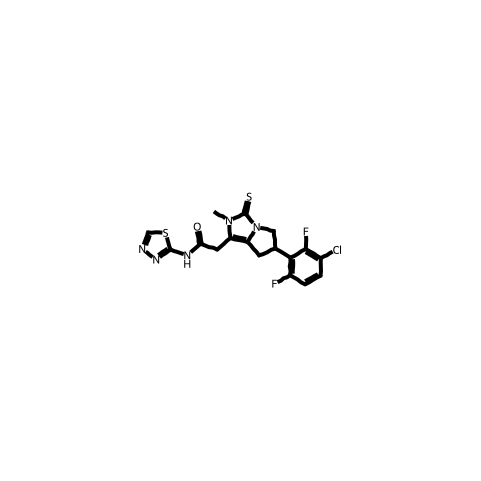 Cn1c(CC(=O)Nc2nncs2)c2n(c1=S)CC(c1c(F)ccc(Cl)c1F)C2